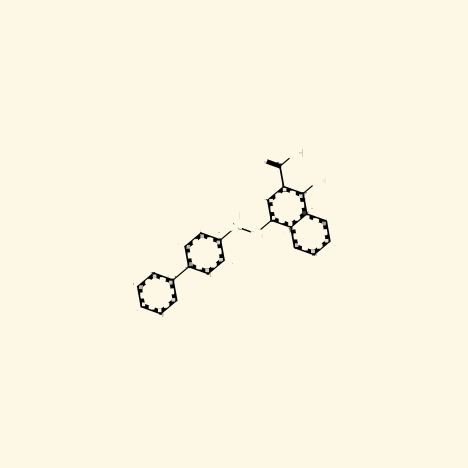 O=C(O)c1cc(SNc2ccc(-c3ccccc3)cc2)c2ccccc2c1O